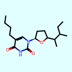 CCCCc1cn([C@H]2CCC(C(C)C(C)CC)O2)c(=O)[nH]c1=O